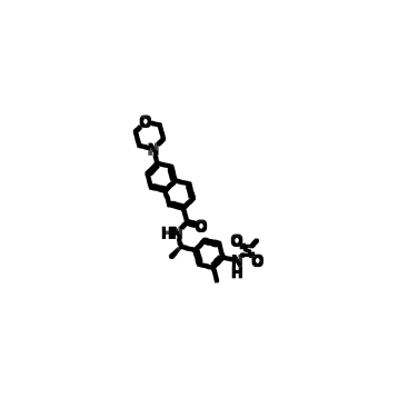 Cc1cc([C@@H](C)NC(=O)c2ccc3cc(N4CCOCC4)ccc3c2)ccc1NS(C)(=O)=O